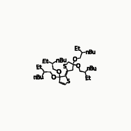 CCCCC(CC)COC1(OCC(CC)CCCC)CSC(=C2SC=CC2(OCC(CC)CCCC)OCC(CC)CCCC)C1